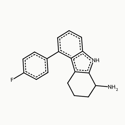 NC1CCCc2c1[nH]c1cccc(-c3ccc(F)cc3)c21